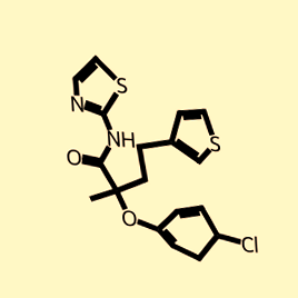 CC(CCc1ccsc1)(OC1=CCC(Cl)C=C1)C(=O)Nc1nccs1